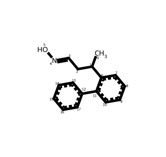 CC(CC=NO)c1ccccc1-c1ccccc1